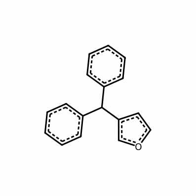 c1ccc(C(c2ccccc2)c2ccoc2)cc1